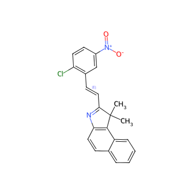 CC1(C)C(/C=C/c2cc([N+](=O)[O-])ccc2Cl)=Nc2ccc3ccccc3c21